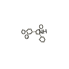 COc1ccc(-c2cc(-c3ccccc3)[nH]c(=O)c2)cc1OC